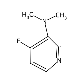 CN(C)c1[c]nccc1F